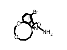 NC1=N[C@@]2(CCCCOCCOc3ccc(Br)cc32)C(F)(F)CO1